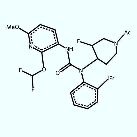 COc1ccc(NC(=O)N(c2ccccc2C(C)C)C2CCN(C(C)=O)CC2F)c(OC(F)F)n1